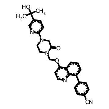 CC(C)(O)c1ccc(N2CCN(COc3ccnc4c(-c5ccc(C#N)cc5)cccc34)C(=O)C2)nc1